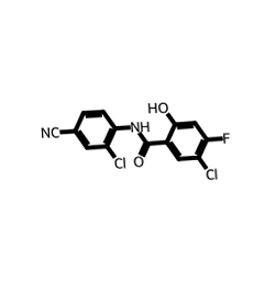 N#Cc1ccc(NC(=O)c2cc(Cl)c(F)cc2O)c(Cl)c1